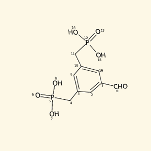 O=Cc1cc(CP(=O)(O)O)cc(CP(=O)(O)O)c1